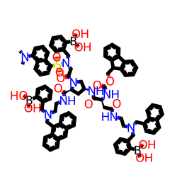 CN(C)c1cccc2c(S(=O)(=O)N(CC(=O)N3C[C@@H](NC(=O)[C@H](CC(=O)NCCN(Cc4ccccc4B(O)O)Cc4cccc5ccccc45)NC(=O)OCC4c5ccccc5-c5ccccc54)C[C@H]3C(=O)NCCN(Cc3ccccc3B(O)O)Cc3c4ccccc4cc4ccccc34)Cc3ccccc3B(O)O)cccc12